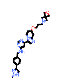 Cn1ncc(-c2ccc(CNc3cc(-c4cnc5cc(OCCCN6CC7(COC7)C6)ccn45)ncn3)cc2)n1